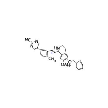 COc1cc2c(cc1OCc1ccccc1)CCNC2/C=C/c1cc(-c2cnc(C#N)nc2)ccc1C